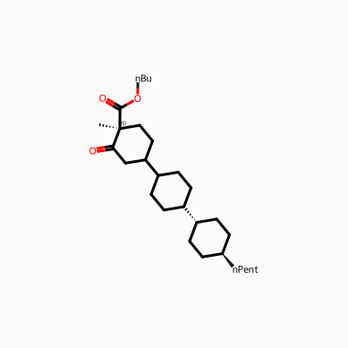 CCCCC[C@H]1CC[C@H](C2CCC(C3CC[C@](C)(C(=O)OCCCC)C(=O)C3)CC2)CC1